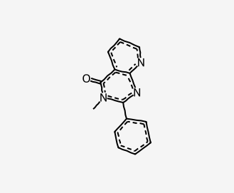 Cn1c(-c2ccccc2)nc2ncccc2c1=O